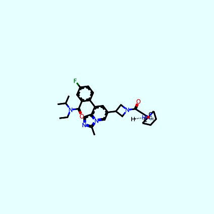 CCN(C(=O)c1cc(F)ccc1-c1cc(C2CN(C(=O)[C@@H]3NC4CCC3CC4)C2)cn2c(C)ncc12)C(C)C